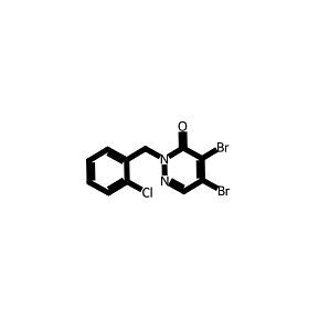 O=c1c(Br)c(Br)cnn1Cc1ccccc1Cl